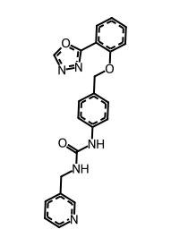 O=C(NCc1cccnc1)Nc1ccc(COc2ccccc2-c2nnco2)cc1